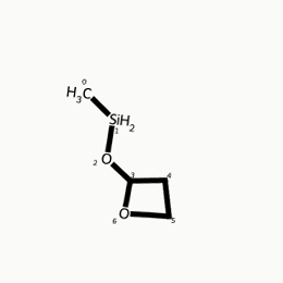 C[SiH2]OC1CCO1